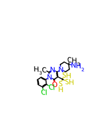 Cc1nc(N2CCC(C)(N)CC2)c(C(S)(S)S)c(=O)n1-c1cccc(Cl)c1Cl